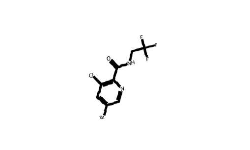 O=C(NCC(F)(F)F)c1ncc(Br)cc1Cl